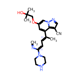 C=N/C(=C\C=C(/C)c1cc(OCC(C)(C)O)cn2ncc(C#N)c12)N1CCNCC1